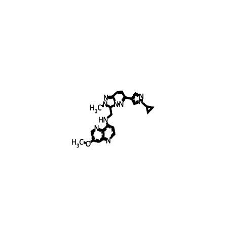 COc1cnc2c(NCC3N(C)N=C4C=CC(c5cnn(C6CC6)c5)=NN43)ccnc2c1